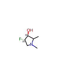 CC1[C@H](O)[C@@H](F)CN1C